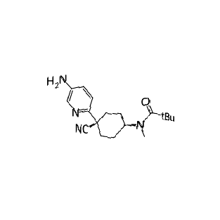 CN(C(=O)C(C)(C)C)[C@H]1CC[C@](C#N)(c2ccc(N)cn2)CC1